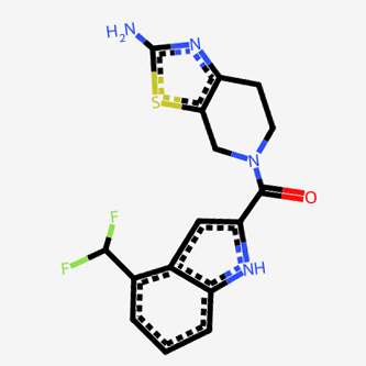 Nc1nc2c(s1)CN(C(=O)c1cc3c(C(F)F)cccc3[nH]1)CC2